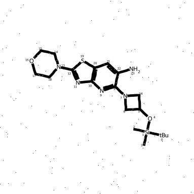 CC(C)(C)[Si](C)(C)OC1CN(c2nc3nc(N4CCOCC4)sc3cc2N)C1